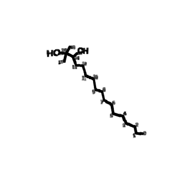 CCCCCCCCCCCCCCC(O)C(C)(C)O